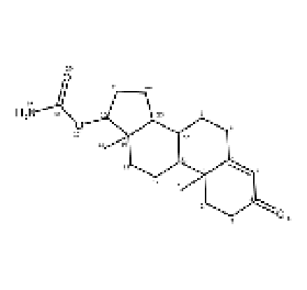 CC12CCC(=O)C=C1CCC1C2CCC2(C)C(OC(N)=O)CCC12